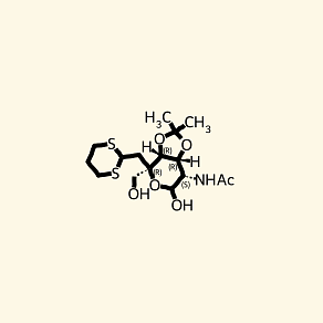 CC(=O)N[C@@H]1C(O)O[C@@](CO)(CC2SCCCS2)[C@@H]2OC(C)(C)O[C@H]12